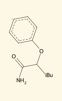 CCC(C)C(Oc1cc[c]cc1)C(N)=O